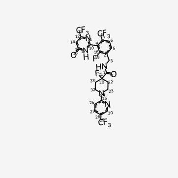 O=C(NCc1ccc(C(F)(F)F)c(-c2nc(C(F)(F)F)cc(=O)[nH]2)c1F)C1(F)CCN(c2ccc(C(F)(F)F)cn2)CC1